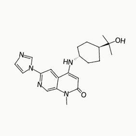 Cn1c(=O)cc(N[C@H]2CC[C@H](C(C)(C)O)CC2)c2cc(-n3ccnc3)ncc21